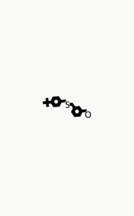 CC(C)(C)c1ccc(CSCc2cccc(C=O)c2)cc1